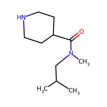 CC(C)CN(C)C(=O)C1CCNCC1